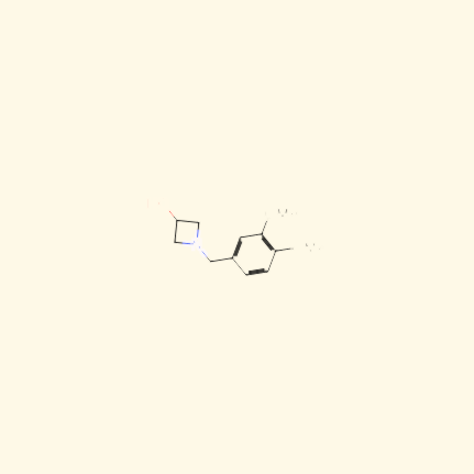 COc1ccc(CN2CC(O)C2)cc1OC